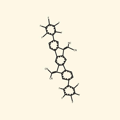 [C-]#[N+]/C(C#N)=C1/c2cc(-c3c(F)c(F)c(F)c(F)c3F)ccc2-c2cc3c(cc21)-c1ccc(-c2c(F)c(F)c(F)c(F)c2F)cc1/C3=C(/C#N)[N+]#[C-]